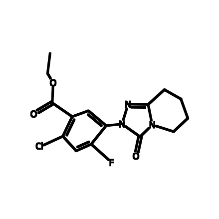 CCOC(=O)c1cc(-n2nc3n(c2=O)CCCC3)c(F)cc1Cl